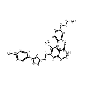 N#Cc1c(OCc2csc(-c3ccc(Cl)cc3)n2)nc2cc[nH]c(=O)c2c1-c1ccc(OCCO)cc1